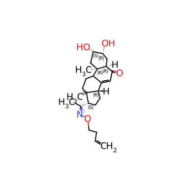 C=CCCO/N=C(/C)[C@H]1CC[C@H]2C3=CC(=O)[C@@H]4C[C@@H](O)[C@@H](O)C[C@]4(C)C3CC[C@]12C